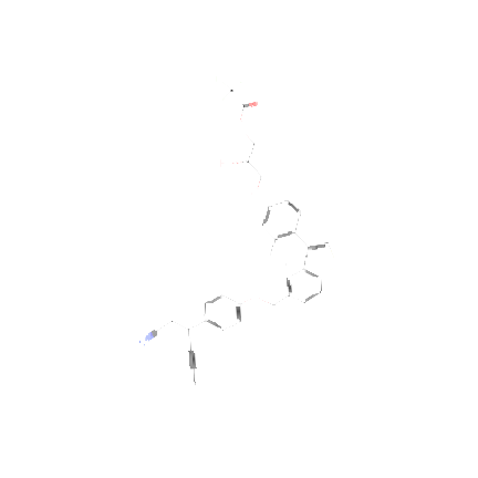 CC#CC(CC#N)c1ccc(OCc2ccc3scc(-c4ccc(OCC(O)COC(=O)C(F)(F)F)cc4C)c3c2)cc1